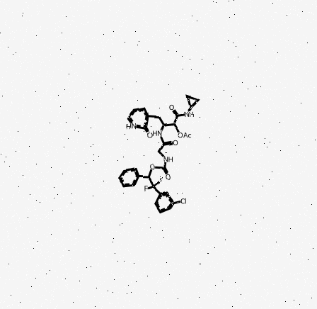 CC(=O)OC(C(=O)NC1CC1)C(Cc1ccc[nH]c1=O)NC(=O)CNC(=O)OC(c1ccccc1)C(F)(F)c1cccc(Cl)c1